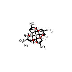 O=[N+]([O-])C1=CN([N+](=O)[O-])C([N+](=O)[O-])([B-](C2([N+](=O)[O-])NC([N+](=O)[O-])=CN2[N+](=O)[O-])(C2([N+](=O)[O-])NC([N+](=O)[O-])=CN2[N+](=O)[O-])C2([N+](=O)[O-])NC([N+](=O)[O-])=CN2[N+](=O)[O-])N1.[Na+]